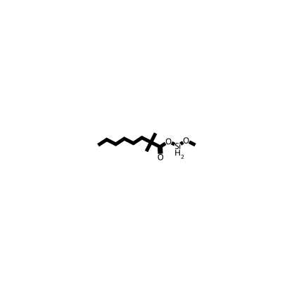 CCCCCCC(C)(C)C(=O)O[SiH2]OC